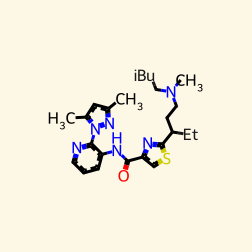 CCC(C)CN(C)CCC(CC)c1nc(C(=O)Nc2cccnc2-n2nc(C)cc2C)cs1